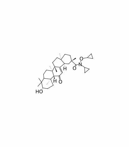 CC1(C)C2CC[C@]3(C)[C@H](C(=O)C=C4[C@@H]5C[C@@](C)(C(=O)N(OC6CC6)C6CC6)CC[C@]5(C)CC[C@]43C)[C@@]2(C)CC[C@@H]1O